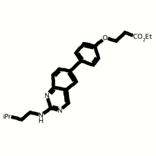 CCOC(=O)CCOc1ccc(-c2ccc3nc(NCCC(C)C)ncc3c2)cc1